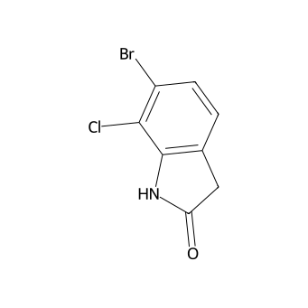 O=C1Cc2ccc(Br)c(Cl)c2N1